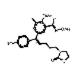 CON=C(Cl)c1cc(/C(=C\CCCN2CCOC2=O)c2ccc(C#N)cc2)cc(C)c1OC